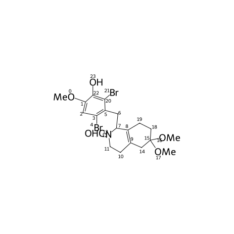 COc1cc(Br)c(CC2C3=C(CCN2C=O)CC(OC)(OC)CC3)c(Br)c1O